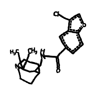 CC1(C)C(NC(=O)c2ccc3occ(Cl)c3c2)C2CCN1CC2